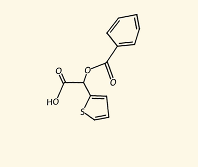 O=C(OC(C(=O)O)c1cccs1)c1ccccc1